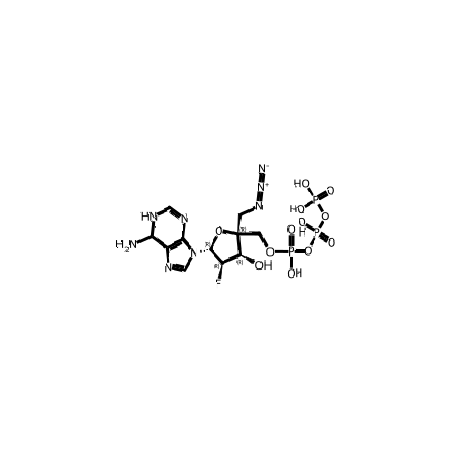 [N-]=[N+]=NC[C@]1(COP(=O)(O)OP(=O)(O)OP(=O)(O)O)O[C@@H](n2cnc3c2N=CNC3N)[C@H](F)[C@@H]1O